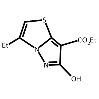 CCOC(=O)c1c(O)nn2c(CC)csc12